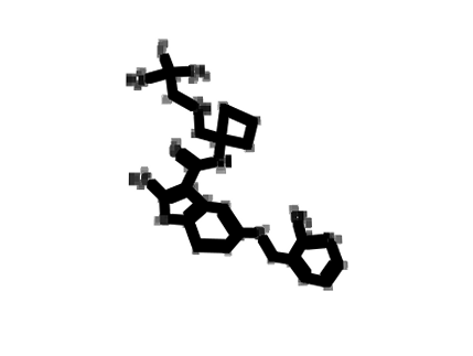 Cc1oc2ccc(OCc3cccnc3C(F)(F)F)cc2c1C(=O)NC1(CNCC(C)(C)F)CCC1